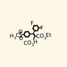 CCOC(=O)C(CC(=O)O)=C(c1ccc(S(C)(=O)=O)cc1)c1cc(F)cc(F)c1